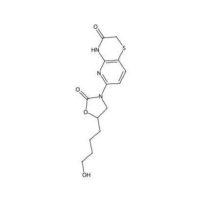 O=C1CSc2ccc(N3CC(CCCCO)OC3=O)nc2N1